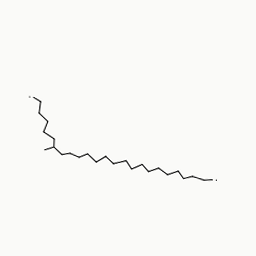 [CH2]CCCCCCCCCCCCCCCCCC(C)CCCCC[CH2]